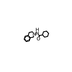 O=C(NN1CCc2ccccc2C1)C1CCCCC1